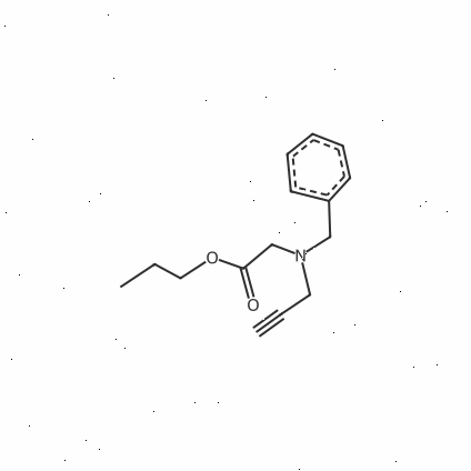 C#CCN(CC(=O)OCCC)Cc1ccccc1